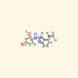 COc1cc(Br)cc(C)c1Nc1nc2cccc(N(C)C(C)C)c2n1C